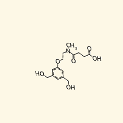 CN(CCOc1cc(CO)cc(CO)c1)C(=O)CCC(=O)O